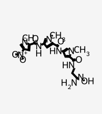 Cn1cc(NC(=O)c2cc(NC(=O)c3cc([N+](=O)[O-])cn3C)cn2C)cc1C(=O)NCCC(N)=NO